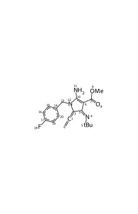 C=C=C1/C(=N\C(C)(C)C)C(C(=O)OC)=C(N)N1Cc1ccc(F)cc1